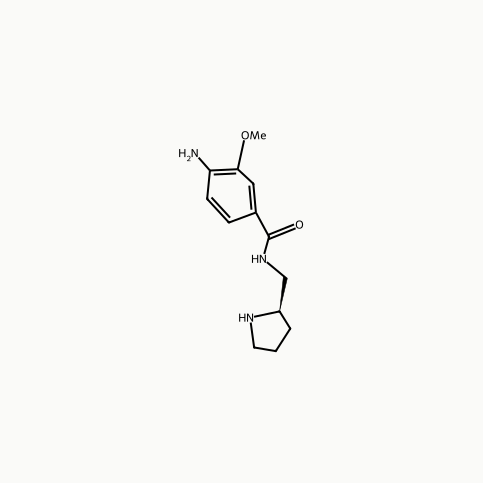 COc1cc(C(=O)NC[C@H]2CCCN2)ccc1N